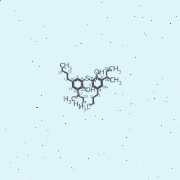 CCCCc1cc(Sc2cc(CCCC)cc(C(C)CC)c2O)c(O)c(C(C)CC)c1